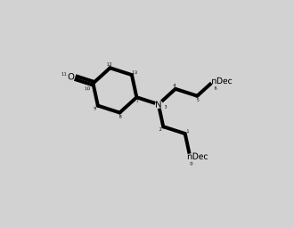 CCCCCCCCCCCCN(CCCCCCCCCCCC)C1CCC(=O)CC1